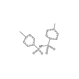 Cc1ccc(S(=O)(=O)PS(=O)(=O)c2ccc(C)cc2)cc1